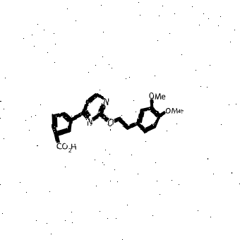 COc1ccc(CCOc2nccc(-c3cccc(C(=O)O)c3)n2)cc1OC